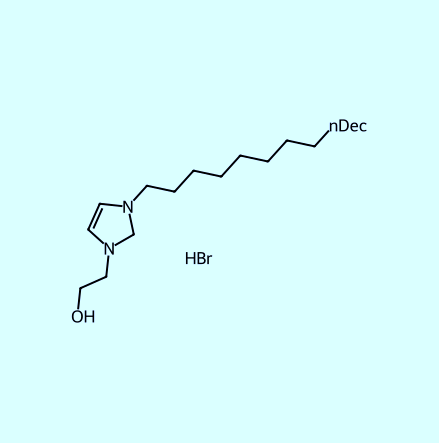 Br.CCCCCCCCCCCCCCCCCCN1C=CN(CCO)C1